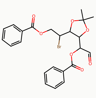 CC1(C)OC(C(Br)COC(=O)c2ccccc2)C(C(C=O)OC(=O)c2ccccc2)O1